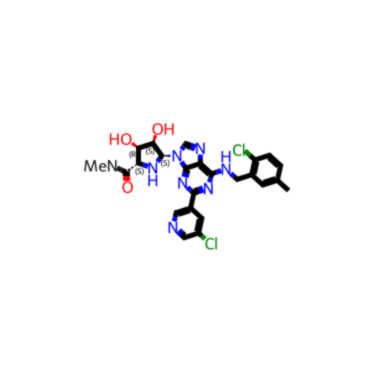 CNC(=O)[C@H]1N[C@@H](n2cnc3c(NCc4cc(C)ccc4Cl)nc(-c4cncc(Cl)c4)nc32)[C@H](O)[C@@H]1O